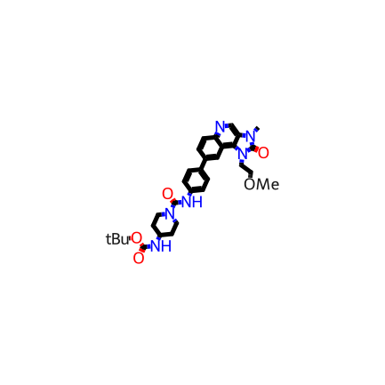 COCCn1c(=O)n(C)c2cnc3ccc(-c4ccc(NC(=O)N5CCC(NC(=O)OC(C)(C)C)CC5)cc4)cc3c21